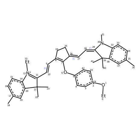 CCO[n+]1ccc(OC2=C(/C=C/C3=[N+](CC)c4ccc(C)cc4C3(C)C)CC/C2=C\C=C2\N(C)c3ccc(C)cc3C2(C)C)cc1